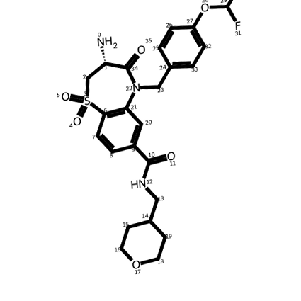 N[C@H]1CS(=O)(=O)c2ccc(C(=O)NCC3CCOCC3)cc2N(Cc2ccc(OC(F)F)cc2)C1=O